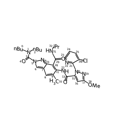 CCCCN(CCCC)C(=O)n1cc2cc(C)c(NC(=O)c3cc(OC)nn3-c3ncccc3Cl)c(C(=O)NC(C)C)c2n1